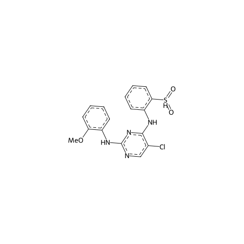 COc1ccccc1Nc1ncc(Cl)c(Nc2ccccc2[SH](=O)=O)n1